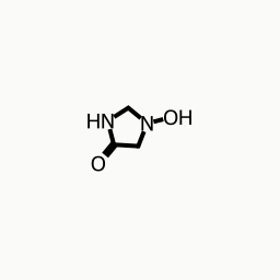 O=C1CN(O)CN1